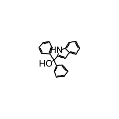 OC(c1ccccc1)(c1ccccc1)c1cc2ccccc2[nH]1